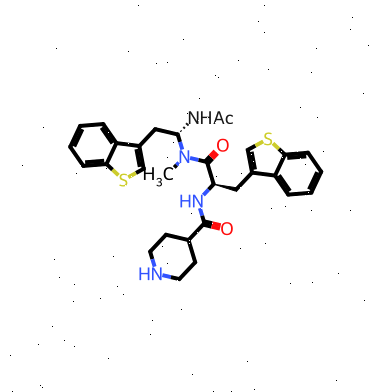 CC(=O)N[C@@H](Cc1csc2ccccc12)N(C)C(=O)[C@@H](Cc1csc2ccccc12)NC(=O)C1CCNCC1